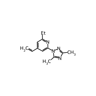 C=Cc1cc(CC)nc(-n2nc(C)nc2C)c1